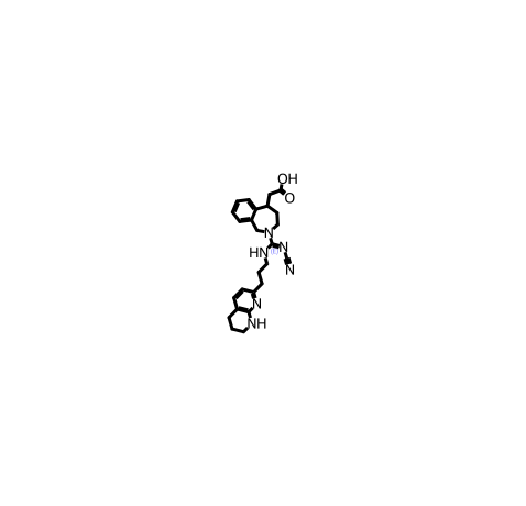 N#C/N=C(\NCCCc1ccc2c(n1)NCCC2)N1CCC(CC(=O)O)c2ccccc2C1